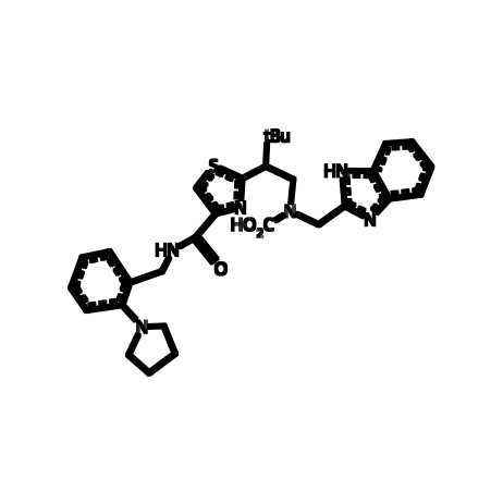 CC(C)(C)C(CN(Cc1nc2ccccc2[nH]1)C(=O)O)c1nc(C(=O)NCc2ccccc2N2CCCC2)cs1